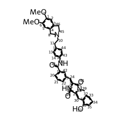 COc1cc2c(cc1OC)CN(CCc1ccc(NC(=O)c3cccc(C=c4[nH]c(=O)c(=Cc5ccccc5O)n(C)c4=O)c3)cc1)CC2